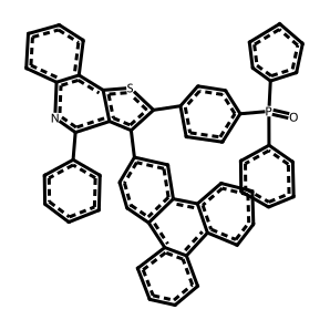 O=P(c1ccccc1)(c1ccccc1)c1ccc(-c2sc3c(c(-c4ccccc4)nc4ccccc43)c2-c2ccc3c4ccccc4c4ccccc4c3c2)cc1